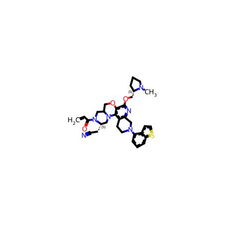 C=CC(=O)N1CC2COc3c(OC[C@@H]4CCCN4C)nc4c(c3N2C[C@@H]1CC#N)CCN(c1cccc2sccc12)C4